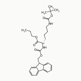 CCCOC(=O)[C@H](CCCCNC(=O)OC(C)(C)C)NC(=O)OCC1c2ccccc2-c2ccccc21